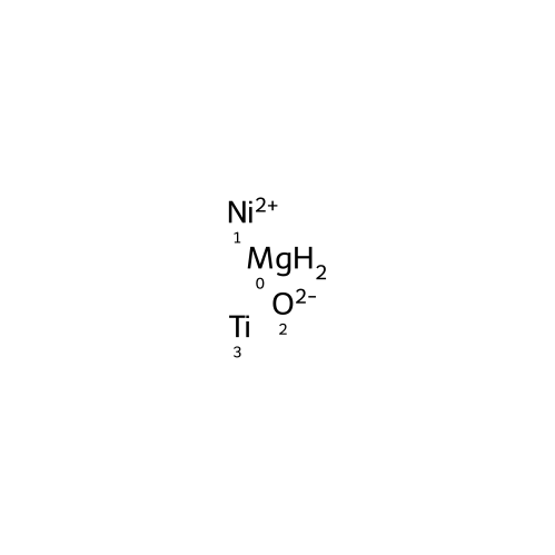 [MgH2].[Ni+2].[O-2].[Ti]